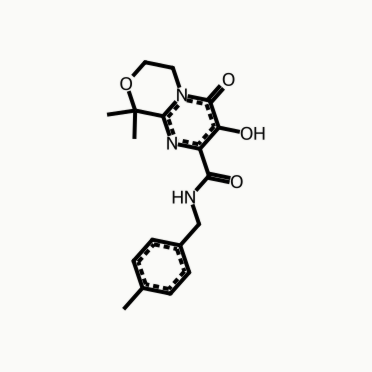 Cc1ccc(CNC(=O)c2nc3n(c(=O)c2O)CCOC3(C)C)cc1